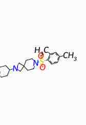 Cc1ccc(S(=O)(=O)N2CCC3(CC2)CN(C2CCOCC2)C3)c(C)c1